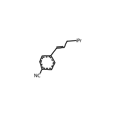 CC(C)C/C=C/c1ccc(C#N)cc1